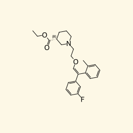 CCOC(=O)[C@@H]1CCCN(CCOC=C(c2cccc(F)c2)c2ccccc2C)C1